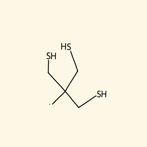 [CH2]C(CS)(CS)CS